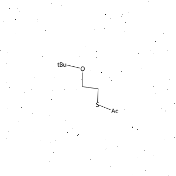 CC(=O)SCCOC(C)(C)C